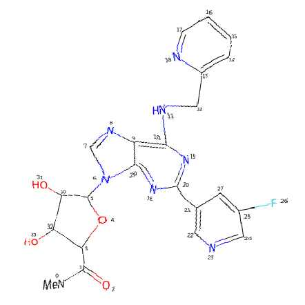 CNC(=O)C1OC(n2cnc3c(NCc4ccccn4)nc(-c4cncc(F)c4)nc32)C(O)C1O